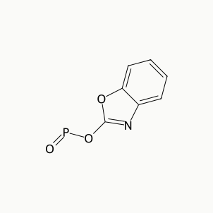 O=POc1nc2ccccc2o1